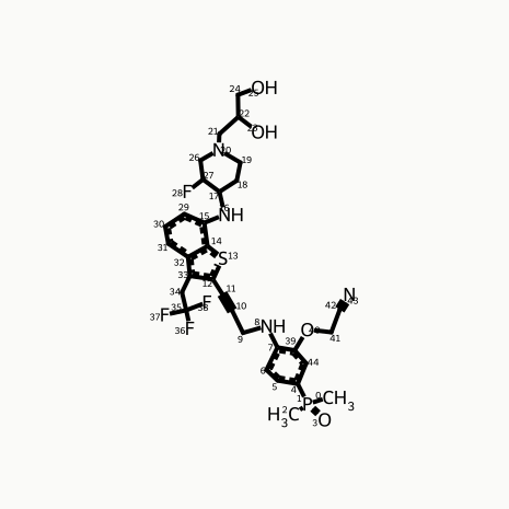 CP(C)(=O)c1ccc(NCC#Cc2sc3c(NC4CCN(CC(O)CO)CC4F)cccc3c2CC(F)(F)F)c(OCC#N)c1